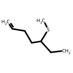 [CH2]CC(CCC=C)SC